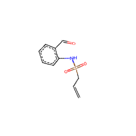 C=CCS(=O)(=O)Nc1ccccc1[C]=O